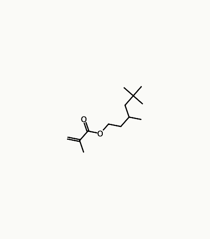 C=C(C)C(=O)OCCC(C)CC(C)(C)C